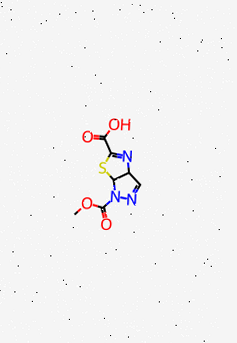 COC(=O)N1N=CC2N=C(C(=O)O)SC21